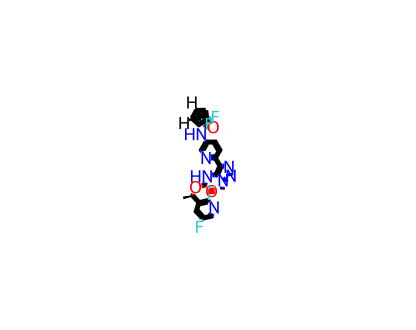 C[C@@H](OC(=O)Nc1c(-c2ccc(NC(=O)[C@@]34C5[C@H]3[C@H]4CC5(F)F)cn2)nnn1C)c1cc(F)cnc1F